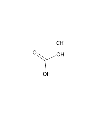 O=C(O)O.[CH]